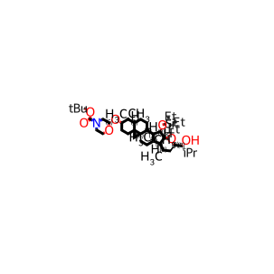 CC[Si](CC)(CC)O[C@H]1[C@H]2O[C@@H]([C@H](O)C(C)C)C[C@@H](C)[C@@H]2[C@@]2(C)CC[C@@]34CC35CCC(O[C@H]3CN(C(=O)OC(C)(C)C)CCO3)C(C)(C)[C@@H]5CC[C@H]4[C@]12C